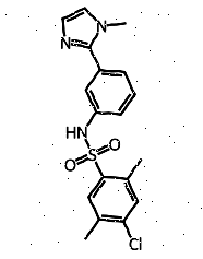 Cc1cc(S(=O)(=O)Nc2cccc(-c3nccn3C)c2)c(C)cc1Cl